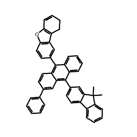 CC1(C)c2ccccc2-c2ccc(-c3c4ccccc4c(-c4ccc5oc6c(c5c4)CCC=C6)c4ccc(-c5ccccc5)cc34)cc21